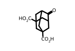 O=C1C2CC3(C(=O)O)CC1CC(C(=O)O)(C2)C3